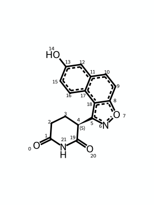 O=C1CC[C@@H](c2noc3ccc4cc(O)ccc4c23)C(=O)N1